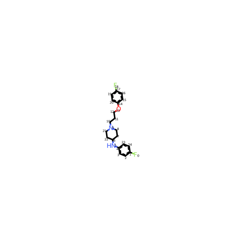 Fc1ccc(NC2CCN(CCCOc3ccc(F)cc3)CC2)cc1